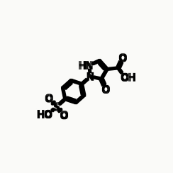 O=C(O)c1c[nH]n(-c2ccc(S(=O)(=O)O)cc2)c1=O